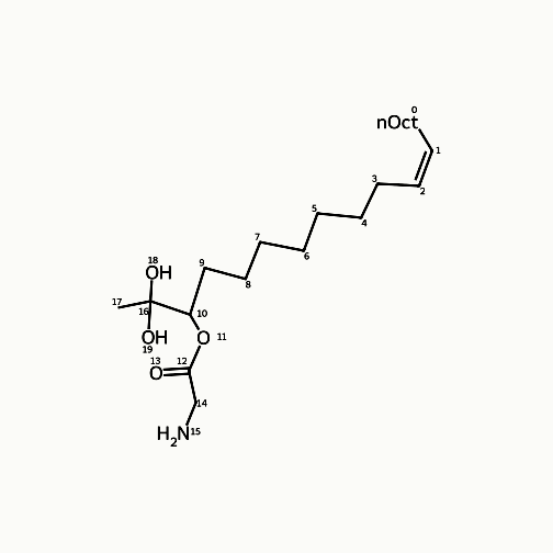 CCCCCCCC/C=C\CCCCCCCC(OC(=O)CN)C(C)(O)O